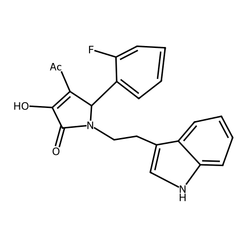 CC(=O)C1=C(O)C(=O)N(CCc2c[nH]c3ccccc23)C1c1ccccc1F